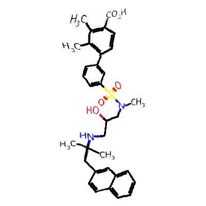 Cc1c(C(=O)O)ccc(-c2cccc(S(=O)(=O)N(C)CC(O)CNC(C)(C)Cc3ccc4ccccc4c3)c2)c1C